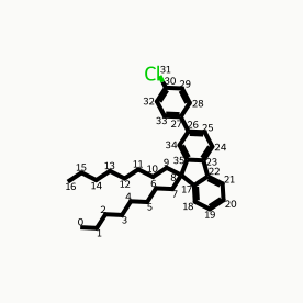 CCCCCCCCC1(CCCCCCCC)c2ccccc2-c2ccc(-c3ccc(Cl)cc3)cc21